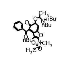 CCCCc1c(N(C)S(C)(=O)=O)oc2c1=C(C(=O)c1ccccc1)C(=O)C(OC(C)N(CCCC)CCCC)C=2